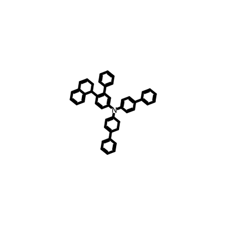 C1=Cc2ccccc2C(c2ccc(N(C3=CC=C(c4ccccc4)CC3)c3ccc(-c4ccccc4)cc3)cc2-c2ccccc2)C1